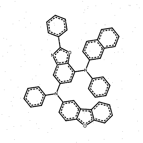 c1ccc(-c2nc3cc(N(c4ccccc4)c4ccc5oc6ccccc6c5c4)cc(N(c4ccccc4)c4ccc5ccccc5c4)c3o2)cc1